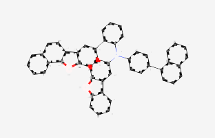 c1ccc(N(c2ccc(-c3cccc4ccccc34)cc2)c2ccc3oc4ccccc4c3c2)c(-c2ccc3oc4c5ccccc5ccc4c3c2)c1